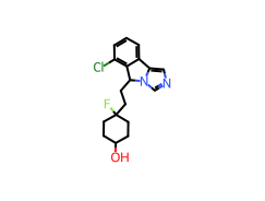 OC1CCC(F)(CCC2c3c(Cl)cccc3-c3cncn32)CC1